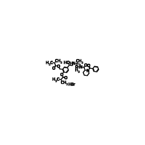 Br.CC(C)C(=O)OCc1cc(C(O)CNC(C)(C)CNC(=O)C2CCCCN2C(=O)c2ccccc2)ccc1OC(=O)C(C)C